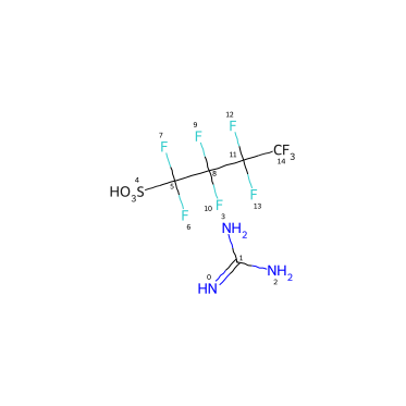 N=C(N)N.O=S(=O)(O)C(F)(F)C(F)(F)C(F)(F)C(F)(F)F